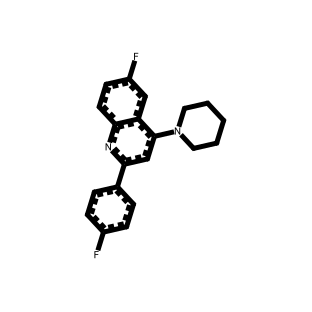 Fc1ccc(-c2cc(N3CCCCC3)c3cc(F)ccc3n2)cc1